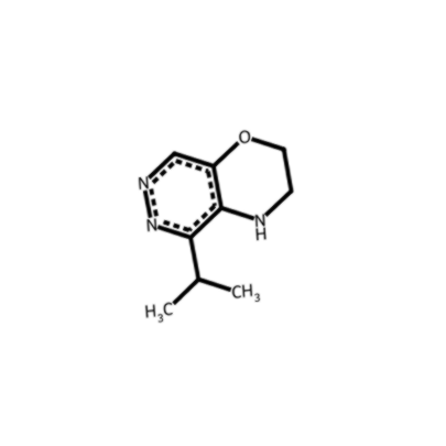 CC(C)c1nncc2c1NCCO2